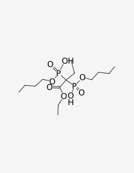 CCCCOP(=O)(O)C(CC)(C(=O)OCC)P(=O)(O)OCCCC